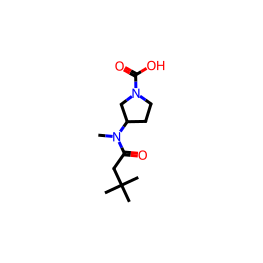 CN(C(=O)CC(C)(C)C)C1CCN(C(=O)O)C1